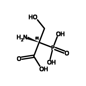 N[C@@](CO)(C(=O)O)P(=O)(O)O